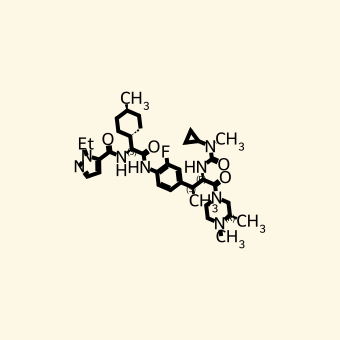 CCn1nccc1C(=O)N[C@H](C(=O)Nc1ccc([C@H](C)[C@@H](NC(=O)N(C)C2CC2)C(=O)N2CCN(C)[C@H](C)C2)cc1F)[C@H]1CC[C@H](C)CC1